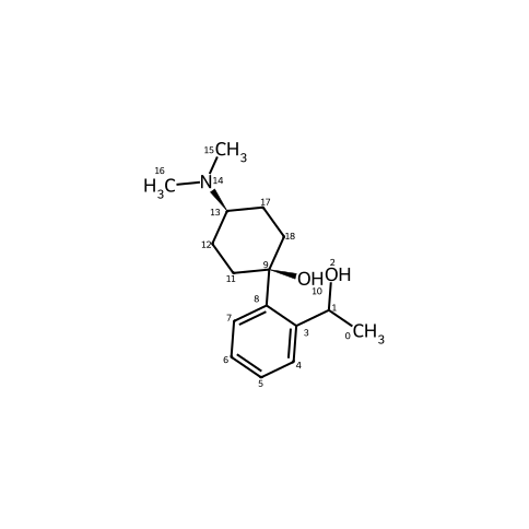 CC(O)c1ccccc1[C@]1(O)CC[C@@H](N(C)C)CC1